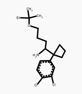 CCC(C)(C)OCCCC(N)C1(c2ccc(Cl)c(Cl)c2)CCC1